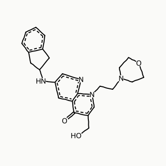 O=c1c(CO)cn(CCN2CCOCC2)c2ncc(NC3Cc4ccccc4C3)cc12